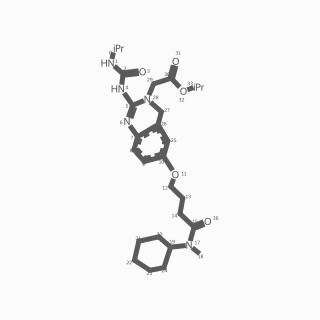 CC(C)NC(=O)NC1=Nc2ccc(OCCCC(=O)N(C)C3CCCCC3)cc2CN1CC(=O)OC(C)C